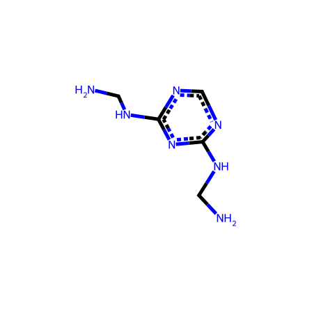 NCNc1ncnc(NCN)n1